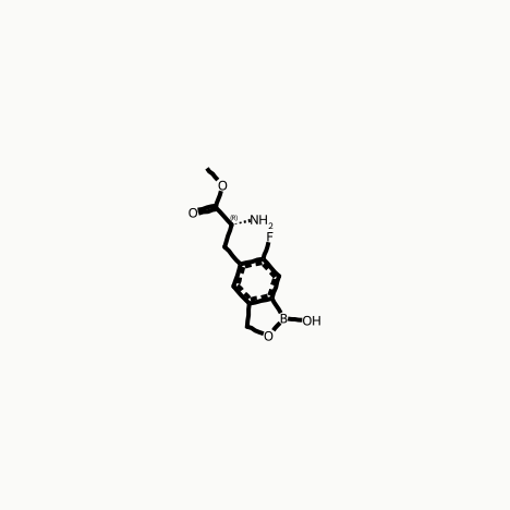 COC(=O)[C@H](N)Cc1cc2c(cc1F)B(O)OC2